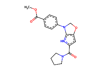 COC(=O)c1ccc(N2COc3cc(C(=O)N4CCCC4)[nH]c32)cc1